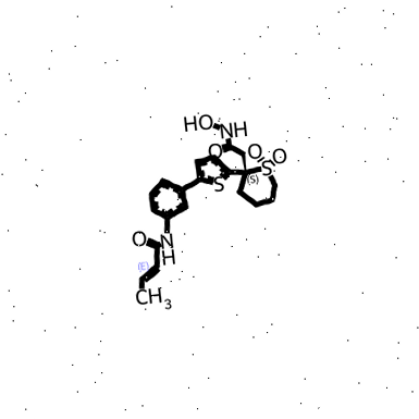 C/C=C/C(=O)Nc1cccc(-c2ccc([C@@]3(CC(=O)NO)CCCCS3(=O)=O)s2)c1